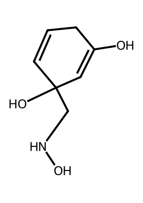 ONCC1(O)C=CCC(O)=C1